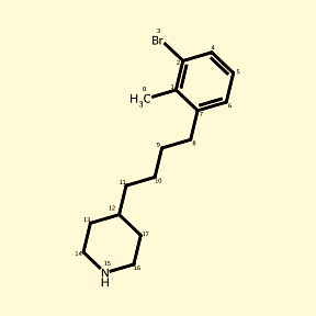 Cc1c(Br)cccc1CCCCC1CCNCC1